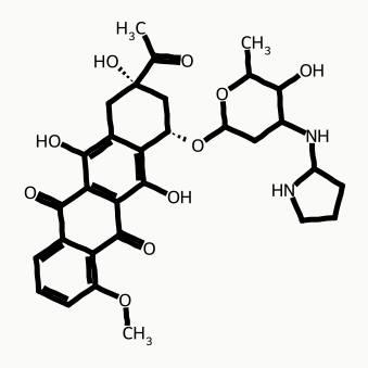 COc1cccc2c1C(=O)c1c(O)c3c(c(O)c1C2=O)C[C@@](O)(C(C)=O)C[C@@H]3OC1CC(NC2CCCN2)C(O)C(C)O1